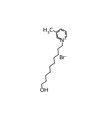 Cc1ccc[n+](CCCCCCCCCCO)c1.[Br-]